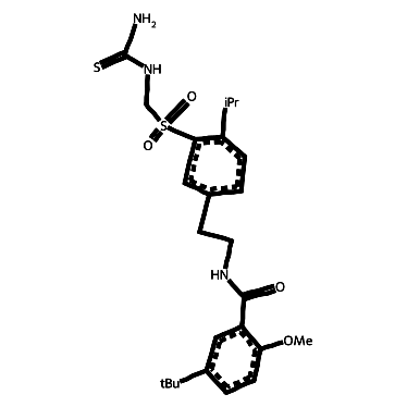 COc1ccc(C(C)(C)C)cc1C(=O)NCCc1ccc(C(C)C)c(S(=O)(=O)CNC(N)=S)c1